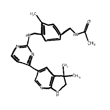 CC(=O)NCc1ccc(Nc2nccc(-c3cnc4c(c3)C(C)(C)CN4)n2)c(C)c1